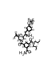 CCCN(CCC)C(=O)c1cc(C(N)=O)cc(C(=O)N(CCC(C)C)C[C@@H](O)[C@@H](N)Cc2cccc(OC(F)(F)F)c2)c1